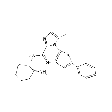 Cc1cnc2c(N[C@H]3CCCC[C@@H]3N)nc3cc(-c4ccccc4)sc3n12